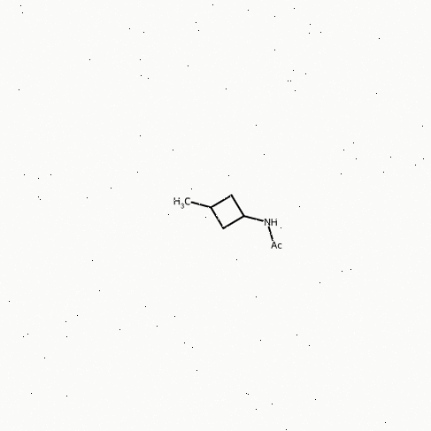 CC(=O)NC1CC(C)C1